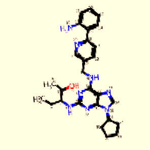 CCC(Nc1nc(NCc2ccc(-c3ccccc3N)nc2)c2ncn(C3CCCC3)c2n1)C(C)O